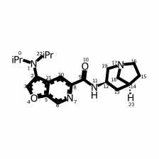 CC(C)N(c1coc2cnc(C(=O)N[C@@H]3C[C@@H]4CCN(C4)C3)cc12)C(C)C